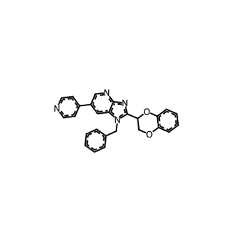 c1ccc(Cn2c(C3COc4ccccc4O3)nc3ncc(-c4ccncc4)cc32)cc1